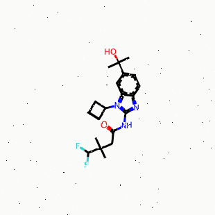 CC(C)(O)c1ccc2nc(NC(=O)CC(C)(C)C(F)F)n(C3CCC3)c2c1